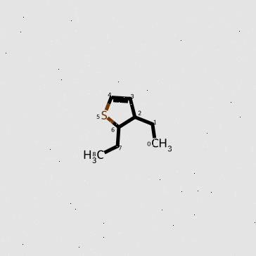 CCC1C=CSC1CC